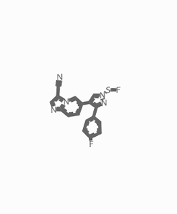 N#Cc1cnc2ccc(-c3cn(SF)nc3-c3ccc(F)cc3)cn12